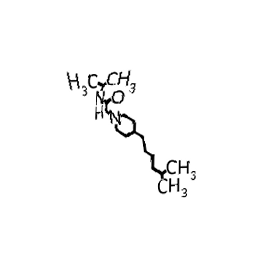 CC(C)CCCCC1CCN(CC(=O)NC(C)C)CC1